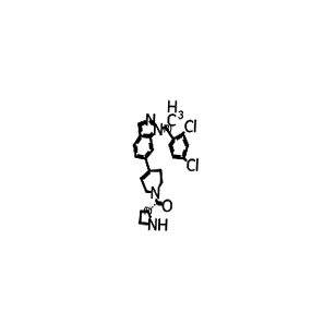 C[C@H](c1ccc(Cl)cc1Cl)n1ncc2ccc(C3=CCN(C(=O)[C@H]4CCN4)CC3)cc21